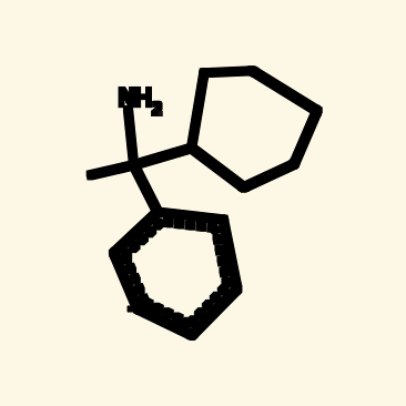 CC(N)(c1c[c]ccc1)C1CCCCC1